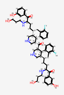 Cc1c(F)cccc1[C@H]1[C@@H](CCCC(NCCCO)C(=O)c2cccc(O)c2)CNC[C@H]1C(=O)[C@@H]1CNC[C@H](CCCC(NCCCO)C(=O)c2cccc(O)c2)[C@@H]1c1cccc(F)c1C